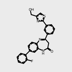 O=C1CC(c2cccc(-c3nc(CO)cs3)c2)=Nc2ccc(-c3ccccc3F)cc2N1